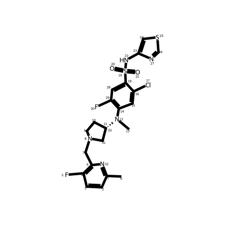 Cc1ccc(F)c(CN2CC[C@H](N(C)c3cc(Cl)c(S(=O)(=O)Nc4cscn4)cc3F)C2)n1